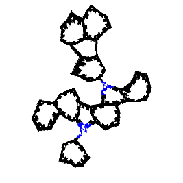 c1ccc(-n2c3ccc4c5ccccc5n(-c5ccc6c(c5)-c5cccc7cccc-6c57)c4c3c3ccc4ccccc4c32)cc1